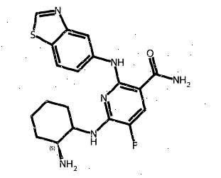 NC(=O)c1cc(F)c(NC2CCCC[C@@H]2N)nc1Nc1ccc2scnc2c1